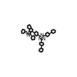 c1ccc(-c2ccc(-c3nc(-c4ccc(-c5ccccc5)cc4)nc(-c4ccc(-c5cc6ccccc6c6c5c(-c5ccccc5)nn6-c5ccccc5)cc4)n3)cc2)cc1